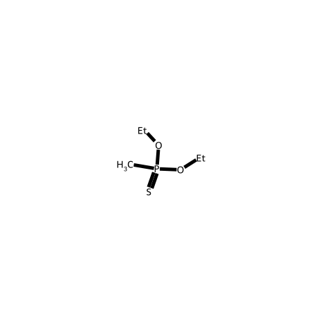 CCOP(C)(=S)OCC